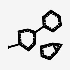 Ic1ccc(-c2ccccc2)cc1.c1cc2cc-2c1